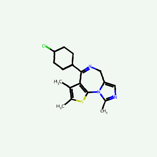 Cc1sc2c(c1C)C(C1CCC(Cl)CC1)=NCc1cnc(C)n1-2